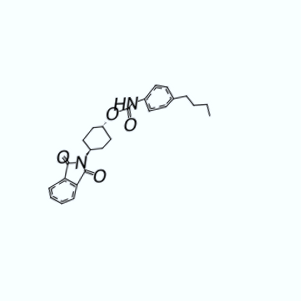 CCCCc1ccc(NC(=O)O[C@H]2CC[C@H](N3C(=O)c4ccccc4C3=O)CC2)cc1